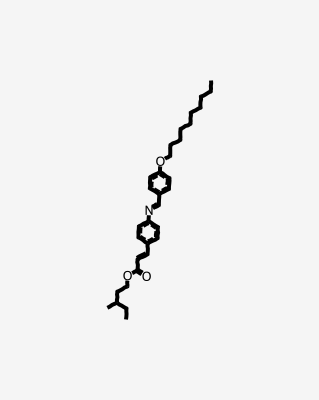 CCCCCCCCCCOc1ccc(C=Nc2ccc(C=CC(=O)OCCC(C)CC)cc2)cc1